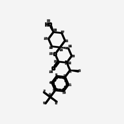 C[C@@H](c1ccc(C(C)(C)C)cc1)N1CC[C@]2(CC[C@H](O)CC2)OC1=O